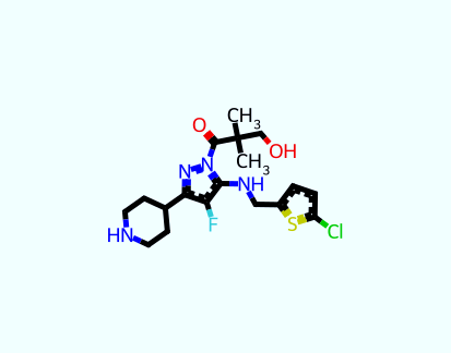 CC(C)(CO)C(=O)n1nc(C2CCNCC2)c(F)c1NCc1ccc(Cl)s1